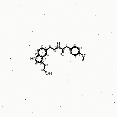 COc1ccc(CC(=O)NCCc2ccc3[nH]cc(CCO)c3c2)cc1